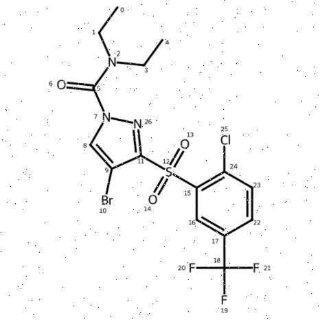 CCN(CC)C(=O)n1cc(Br)c(S(=O)(=O)c2cc(C(F)(F)F)ccc2Cl)n1